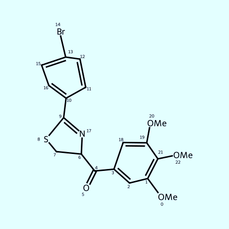 COc1cc(C(=O)C2CSC(c3ccc(Br)cc3)=N2)cc(OC)c1OC